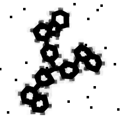 C1=Cc2oc3c(-c4ccc(N(c5ccc(-c6cccc7ccccc67)cc5)c5cccc(-c6cccc7ccccc67)c5)cc4)cccc3c2CC1